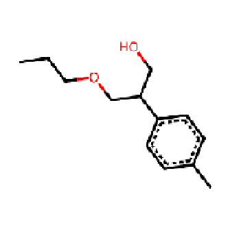 CCCOCC(CO)c1ccc(C)cc1